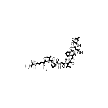 CC(C)C[C@H](NC(=O)[C@@H](NC(=O)[C@@H]1CCCN1C(=O)[C@H](C)NC(=O)[C@@H](NC(=O)CNC(=O)[C@@H]1CCCN1C(=O)[C@@H](NC(=O)[C@@H](N)CCCNC(=N)N)C(C)C)C(C)C)[C@@H](C)O)C(=O)O